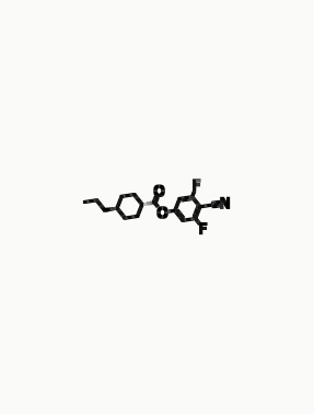 CCC[C@H]1CC[C@H](C(=O)Oc2cc(F)c(C#N)c(F)c2)CC1